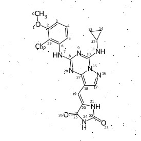 COc1cccc(Nc2nc(NC3CC3)n3ncc(/C=C4\NC(=O)NC4=O)c3n2)c1Cl